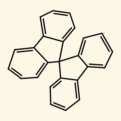 [c]1ccc2c(c1)C1(c3c[c]ccc3-c3ccccc31)c1ccccc1-2